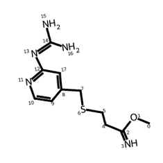 COC(=N)CCSCc1ccnc(N=C(N)N)c1